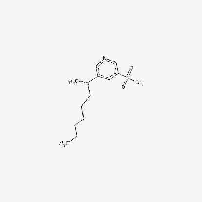 CCCCCCC(C)c1cncc(S(C)(=O)=O)c1